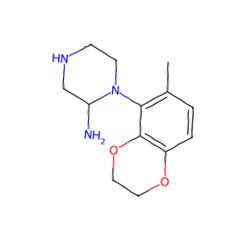 Cc1ccc2c(c1N1CCNCC1N)OCCO2